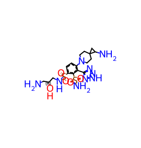 NC[C@@H](O)CNS(=O)(=O)c1ccc(N2CCC3(CC2)CC3N)c(-c2nn[nH]n2)c1S(N)(=O)=O